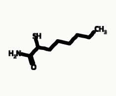 CCCCCCC(S)C(N)=O